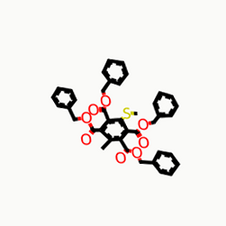 CSc1c(C(=O)OCc2ccccc2)c(C(=O)OCc2ccccc2)c(C)c(C(=O)OCc2ccccc2)c1C(=O)OCc1ccccc1